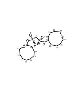 O=S(=O)(CS(=O)(=O)OC1CCCCCCCCC1)OC1CCCCCCCCC1